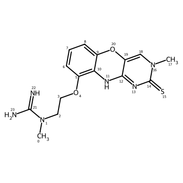 CN(CCOc1cccc2c1Nc1nc(=S)n(C)cc1O2)C(=N)N